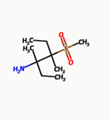 CCC(C)(N)C(C)(CC)S(C)(=O)=O